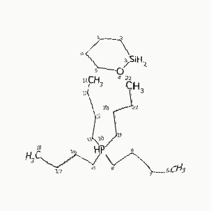 C1CC[SiH2]OC1.CCCC[PH](CCCC)(CCCC)CCCC